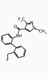 Cn1cc(C(=O)Nc2ccccc2-c2ccccc2CF)c(C(F)(F)F)n1